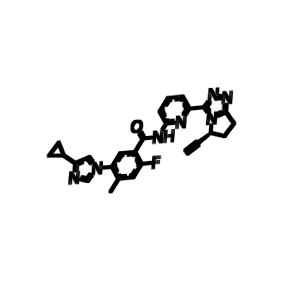 C#C[C@@H]1CCc2nnc(-c3cccc(NC(=O)c4cc(-n5cnc(C6CC6)c5)c(C)cc4F)n3)n21